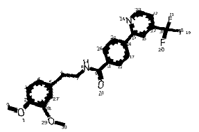 COc1ccc(CCNC(=O)c2ccc(-c3cc(C(F)(F)F)ccn3)cc2)cc1OC